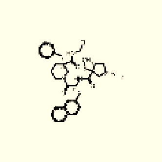 CCNC(=O)[C@]1(Cc2ccccc2)CCCN(C(=O)[C@@H](Cc2ccc3ccccc3c2)NC(=O)C2(SC)CC[C@H](N)C2)C1